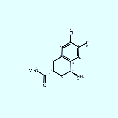 COC(=O)[C@@H]1Cc2cc(Cl)c(Cl)cc2[C@@H](N)C1